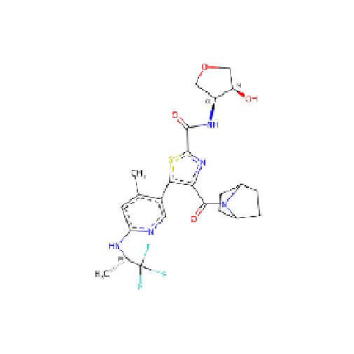 Cc1cc(N[C@@H](C)C(F)(F)F)ncc1-c1sc(C(=O)N[C@H]2COC[C@H]2O)nc1C(=O)N1C2CCC1CC2